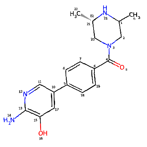 CC1CN(C(=O)c2ccc(-c3cnc(N)c(O)c3)cc2)C[C@H](C)N1